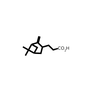 C=C1C(CCC(=O)O)CC2CC1C2(C)C